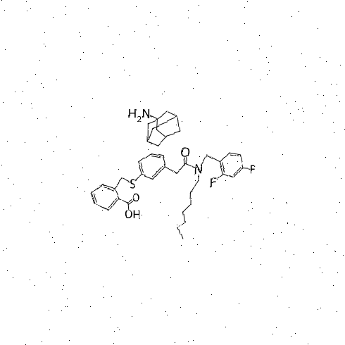 CCCCCCCN(Cc1ccc(F)cc1F)C(=O)Cc1cccc(SCc2ccccc2C(=O)O)c1.NC12CC3CC(CC(C3)C1)C2